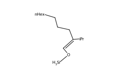 CCCCCCCCCC(=CO[SiH3])C(C)C